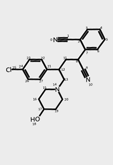 N#Cc1ccccc1C(C#N)CC(CN1CCC(O)CC1)c1ccc(Cl)cc1